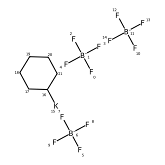 F[B-](F)(F)F.F[B-](F)(F)F.F[B-](F)(F)F.[K][CH]1CCCCC1